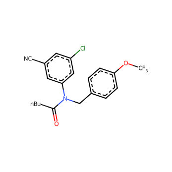 CCCCC(=O)N(Cc1ccc(OC(F)(F)F)cc1)c1cc(Cl)cc(C#N)c1